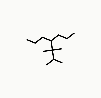 CCCC(CCC)C(C)(C)C(C)C